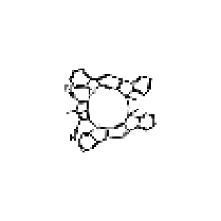 Cc1c(C#N)c2c(C)c(c1C#N)-n1c3ccccc3c3cc4c(cc31)C(C)(CC1(C)c3ccccc3-c3cc5c6ccccc6n-2c5cc31)c1ccccc1-4